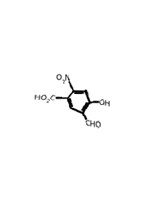 O=Cc1cc(C(=O)O)c([N+](=O)[O-])cc1O